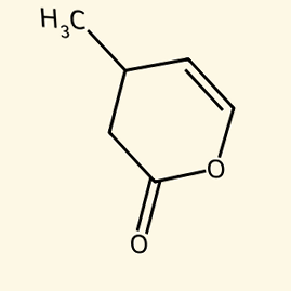 CC1C=COC(=O)C1